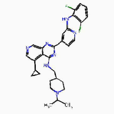 CC(C)N1CCC(CNc2nc(-c3ccnc(Nc4c(F)cccc4F)c3)nc3cncc(C4CC4)c23)CC1